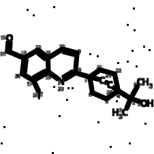 CC(C)(O)C12CCC(c3ccc4cc(C=O)cc(F)c4n3)(CC1)CC2